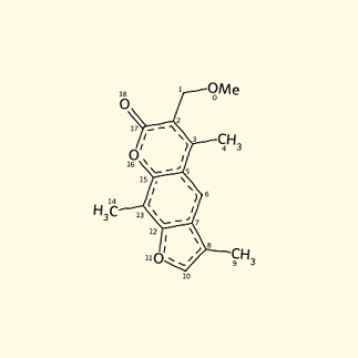 COCc1c(C)c2cc3c(C)coc3c(C)c2oc1=O